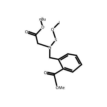 CCCCOC(=O)CN(Cc1ccccc1C(=O)OC)SOI